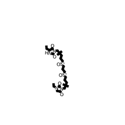 CCC1NC(=O)N(CC(C)(C)CCC[S+]([O-])CCC[S+]([O-])CCCC(C)(C)CN2C(=O)CN(CC)C2=O)C1=O